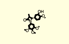 COc1ccc([C@H]2C(C)C(=O)N2c2cc(OC)c(OC)c(OC)c2)cc1O